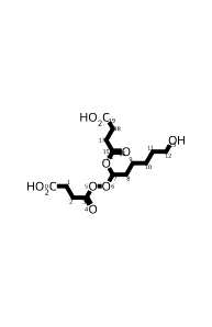 O=C(O)CCC(=O)OOC(CCCCCO)OC(=O)CCC(=O)O